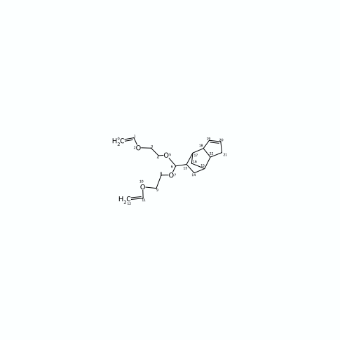 C=COCCOC(OCCOC=C)C1CC2CC1C1C=CCC21